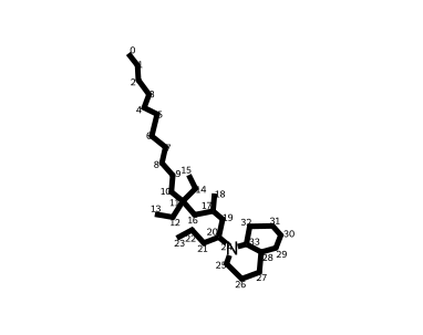 CCCCCCCCCCCC(CC)(CC)CC(C)CC(CCC)N1CCCC2CCCCC21